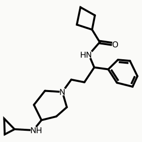 O=C(NC(CCN1CCC(NC2CC2)CC1)c1ccccc1)C1CCC1